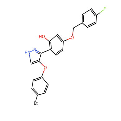 CCc1ccc(Oc2c[nH]nc2-c2ccc(OCc3ccc(F)cc3)cc2O)cc1